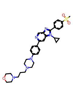 CS(=O)(=O)c1ccc(-c2nc3cnc(-c4ccc(N5CCN(CCCN6CCOCC6)CC5)cc4)cc3n2C2CC2)cc1